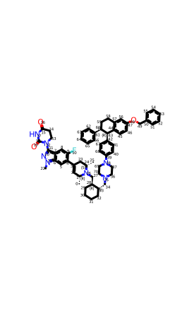 C[C@@H]1C=C(c2cc3c(cc2F)c(N2CCC(=O)NC2=O)nn3C)C[C@H](C)N1C[C@@H]1CCCC[C@H]1CN1CCN(c2ccc([C@@H]3c4ccc(OCc5ccccc5)cc4CC[C@@H]3c3ccccc3)cc2)CC1